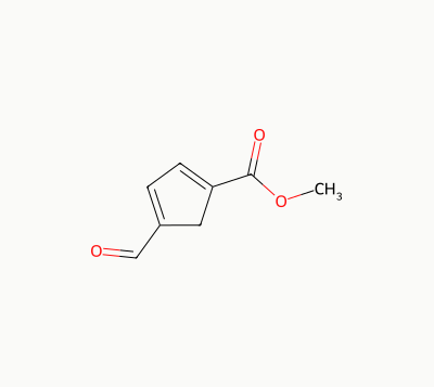 COC(=O)C1=CC=C(C=O)C1